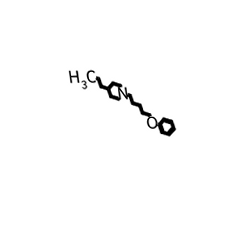 CCCC1CCN(CCCCCOc2ccccc2)CC1